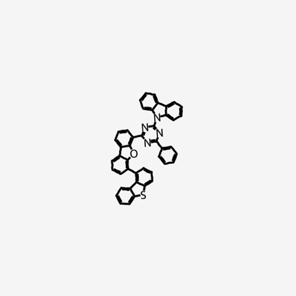 c1ccc(-c2nc(-c3cccc4c3oc3c(-c5cccc6sc7ccccc7c56)cccc34)nc(-n3c4ccccc4c4ccccc43)n2)cc1